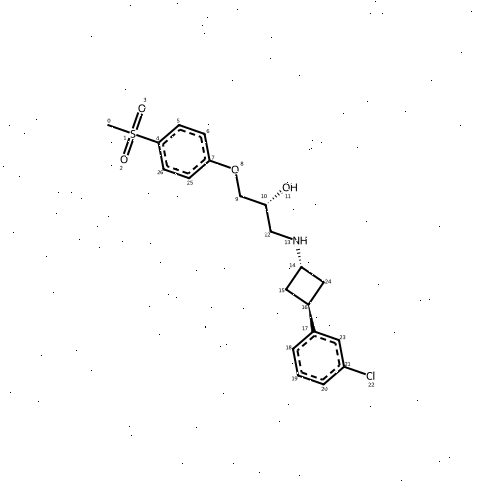 CS(=O)(=O)c1ccc(OC[C@H](O)CN[C@H]2C[C@H](c3cccc(Cl)c3)C2)cc1